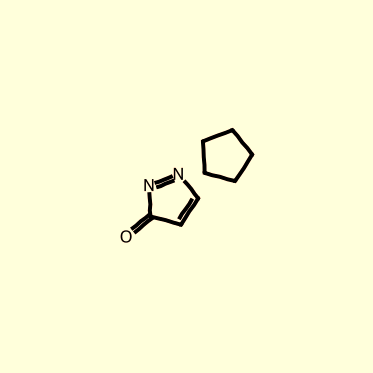 C1CCCC1.O=C1C=CN=N1